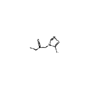 [CH2]c1cncn1CC(=O)CC